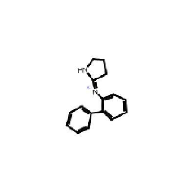 c1ccc(-c2ccccc2/N=C2\CCCN2)cc1